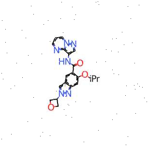 CC(C)Oc1cc2nn(C3COC3)cc2cc1C(=O)Nc1cnn2cccnc12